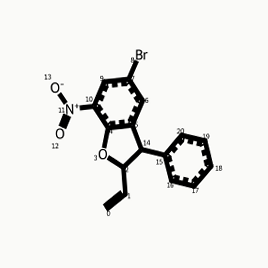 C=CC1Oc2c(cc(Br)cc2[N+](=O)[O-])C1c1ccccc1